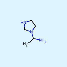 CC(N)N1CCNC1